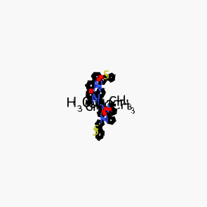 CC(C)(C)c1cccc2c3c(N(c4ccc5sc6ccccc6c5c4)c4ccccc4-c4ccccc4)ccc4c5cc6c(cc5n(c12)c43)c1ccc(N(c2ccc3sc4ccccc4c3c2)c2ccccc2-c2ccccc2)c2c3cccc(C(C)(C)C)c3n6c12